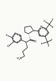 NCCCN(C(=O)[C@@H]1CCCN1c1cc(C(F)(F)F)cc(C(F)(F)F)n1)c1ccc(F)c(Cl)c1